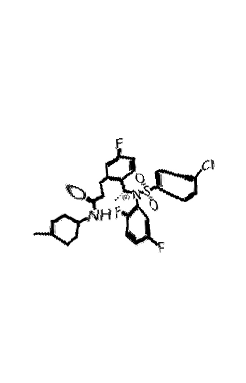 CC1CCC(NC(=O)CCc2cc(F)ccc2[C@@H](C)N(c2cc(F)ccc2F)S(=O)(=O)c2ccc(Cl)cc2)CC1